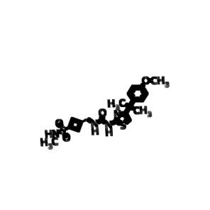 CNS(=O)(=O)[C@H]1C[C@H](CNC(=O)Nc2nc(C(C)(C)c3ccc(OC)cc3)cs2)C1